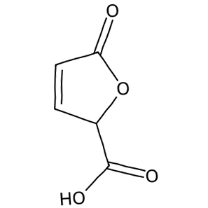 O=C1C=CC(C(=O)O)O1